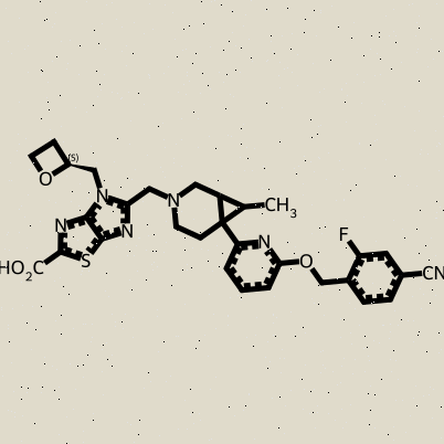 CC1C2CN(Cc3nc4sc(C(=O)O)nc4n3C[C@@H]3CCO3)CCC12c1cccc(OCc2ccc(C#N)cc2F)n1